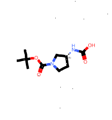 CC(C)(C)OC(=O)N1CC[C@@H](NC(=O)O)C1